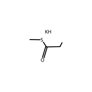 CCC(=O)SC.[KH]